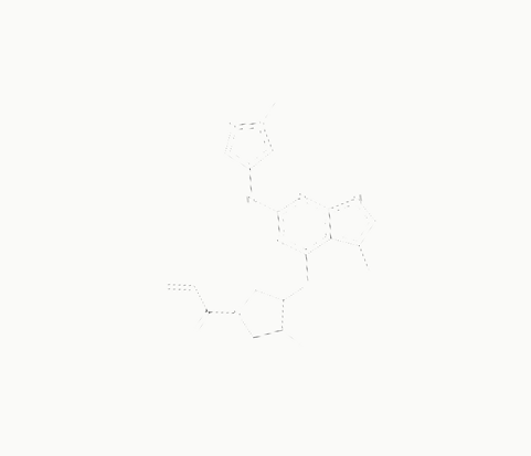 C=CC(=O)N1CC(F)C(Oc2nc(Nc3cnn(CC)c3)nc3[nH]cc(Cl)c23)C1